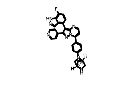 Fc1ccc(-c2c(-c3ccncc3)nn3c(-c4ccc(N5C[C@@H]6C[C@H]5CN6)cc4)ccnc23)c2cn[nH]c12